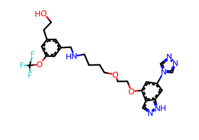 OCCc1cc(CNCCCCOCCOc2cc(-n3cnnc3)cc3[nH]ncc23)cc(OC(F)(F)F)c1